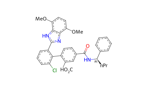 CCC[C@@H](NC(=O)c1ccc(-c2c(Cl)cccc2-c2nc3c(OC)ccc(OC)c3[nH]2)c(C(=O)O)c1)c1ccccc1